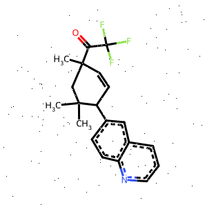 CC1(C(=O)C(F)(F)F)C=CC(c2ccc3ncccc3c2)C(C)(C)C1